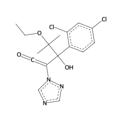 CCOC(C)(C)C(O)(C(=C=O)n1cncn1)c1ccc(Cl)cc1Cl